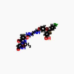 Cc1nc2c(OCCNCCNCCOc3ccc(Oc4c(-c5ccc(Br)cc5)sc5cc(O)ccc45)cc3)cccc2c(=O)n1C1CCC(=O)NC1=O